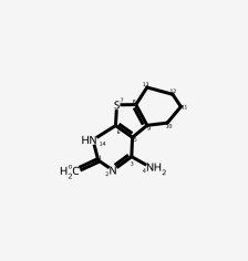 C=C1N=C(N)c2c(sc3c2CCCC3)N1